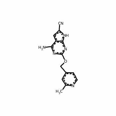 Cc1cc(COc2nc(N)c3cc(C#N)[nH]c3n2)ccn1